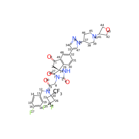 O=C1C[C@]2(NC(=O)N(CC(=O)N(Cc3ccc(F)cc3)C3(C(F)(F)F)CC(F)(F)C3)C2=O)c2ccc(-c3cnn(C4CCN(C5COC5)CC4)c3)cc21